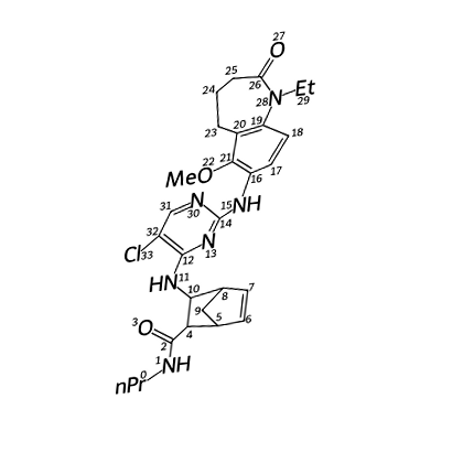 CCCNC(=O)C1C2C=CC(C2)C1Nc1nc(Nc2ccc3c(c2OC)CCCC(=O)N3CC)ncc1Cl